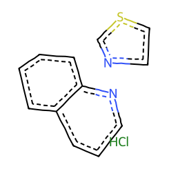 Cl.c1ccc2ncccc2c1.c1cscn1